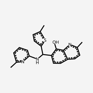 Cc1cccc(NC(c2ccc(C)s2)c2ccc3ccc(C)nc3c2O)n1